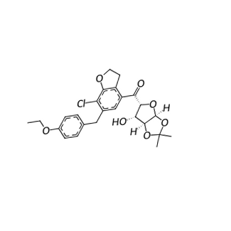 CCOc1ccc(Cc2cc(C(=O)[C@@H]3O[C@H]4OC(C)(C)O[C@H]4[C@@H]3O)c3c(c2Cl)OCC3)cc1